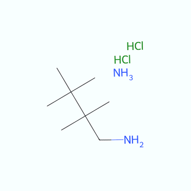 CC(C)(C)C(C)(C)CN.Cl.Cl.N